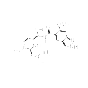 COc1cc2n[nH]cc2cc1C(=O)N/C(C)=C/C=C\N(C=O)/C(N)=C/N(C)N